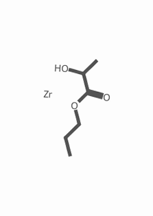 CCCOC(=O)C(C)O.[Zr]